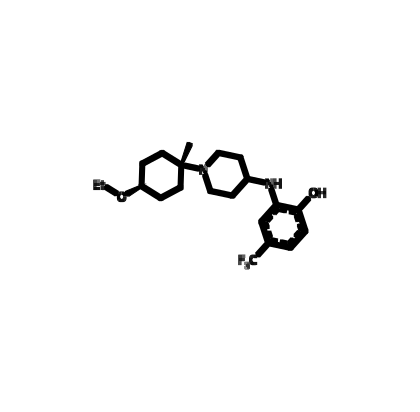 CCO[C@H]1CC[C@](C)(N2CCC(Nc3cc(C(F)(F)F)ccc3O)CC2)CC1